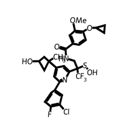 COc1cc(C(=O)NCC(SO)(c2cc(C3(C)CC(O)C3)cc(-c3ccc(F)c(Cl)c3)n2)C(F)(F)F)ccc1OC1CC1